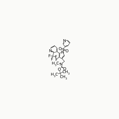 CN(Cc1cn(S(=O)(=O)c2cccnc2)c(-c2cccnc2C(F)(F)F)c1F)C(=O)OC(C)(C)C